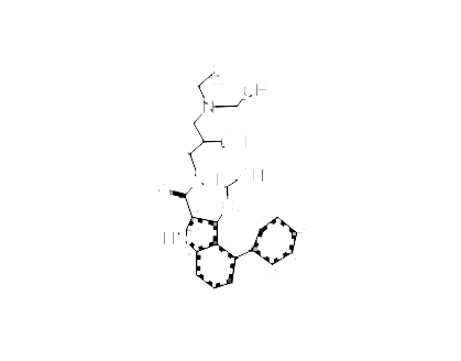 CCOc1c(C(=O)NCC(O)CN(CC)CC)[nH]c2cccc(-c3ccccc3)c12